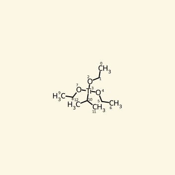 CC[O][Ti]([O]CC)([O]CC)[CH](C)C